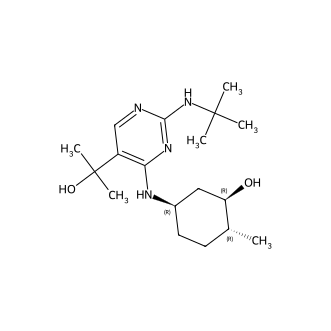 C[C@@H]1CC[C@@H](Nc2nc(NC(C)(C)C)ncc2C(C)(C)O)C[C@H]1O